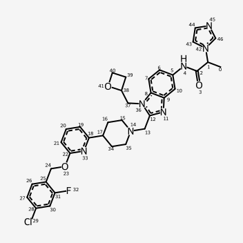 CC(C(=O)Nc1ccc2c(c1)nc(CN1CCC(c3cccc(OCc4ccc(Cl)cc4F)n3)CC1)n2CC1CCO1)n1ccnc1